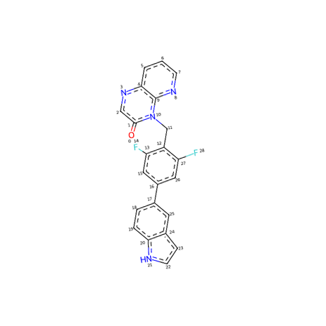 O=c1cnc2cccnc2n1Cc1c(F)cc(-c2ccc3[nH]ccc3c2)cc1F